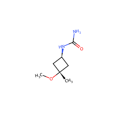 CO[C@]1(C)C[C@@H](NC(N)=O)C1